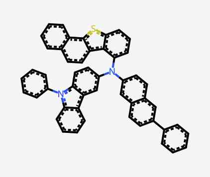 c1ccc(-c2ccc3cc(N(c4ccc5c(c4)c4ccccc4n5-c4ccccc4)c4cccc5sc6c7ccccc7ccc6c45)ccc3c2)cc1